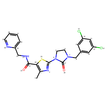 Cc1nc(N2CCN(Cc3cc(Cl)cc(Cl)c3)C2=O)sc1C(=O)NCc1ccccn1